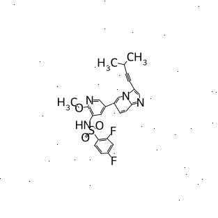 COc1ncc(-c2ccc3ncc(C#CC(C)C)n3c2)cc1NS(=O)(=O)c1ccc(F)cc1F